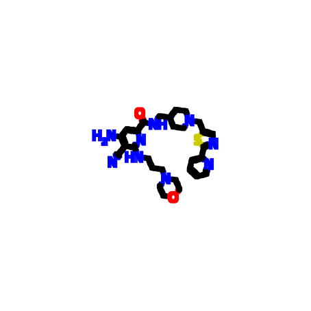 N#Cc1c(N)cc(C(=O)NCC2CCN(Cc3cnc(-c4ccccn4)s3)CC2)nc1NCCCN1CCOCC1